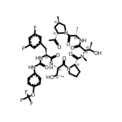 CC(=O)[C@@H]1C[C@@H](C)CN1C(=O)[C@H](C)NC(=O)[C@H]([C@@H](C)O)N(C)C(=O)[C@@H]1CCCN1C(=O)[C@@H](NC(=O)[C@H](Cc1cc(F)cc(F)c1)NC(=O)Nc1ccc(OC(F)(F)F)cc1)[C@H](C)O